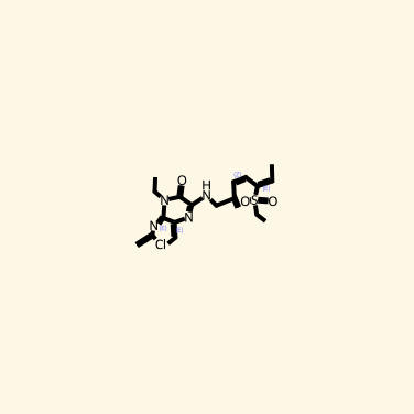 C=C(/C=C\C(=C/C)S(=O)(=O)CC)CNC1=NC(=C/C)/C(=N\C(=C)Cl)N(CC)C1=O